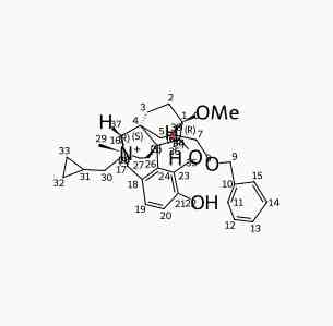 CO[C@]12CC[C@@]3(C[C@@H]1COCc1ccccc1)[C@H]1Cc4ccc(O)c5c4[C@@]3(CC[N@+]1(C)CC1CC1)[C@H]2O5